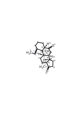 C/C=C1\CCC[C@@H]2C(=O)C[C@@H]3[C@H](CC[C@]4(C)C(=O)CC[C@@H]34)[C@@]12C